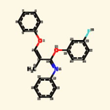 CC(=COc1ccccc1)C(=Nc1ccccc1)Oc1cccc(F)c1